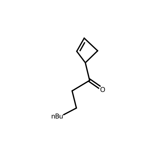 CCCCCCC(=O)C1C=CC1